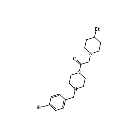 CCC1CCN(CC(=O)N2CCN(Cc3ccc(C(C)C)cc3)CC2)CC1